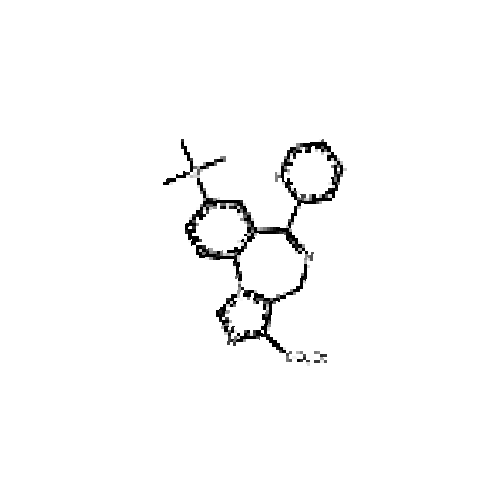 CCOC(=O)c1ncn2c1CN=C(c1ccccn1)c1cc([Si](C)(C)C)ccc1-2